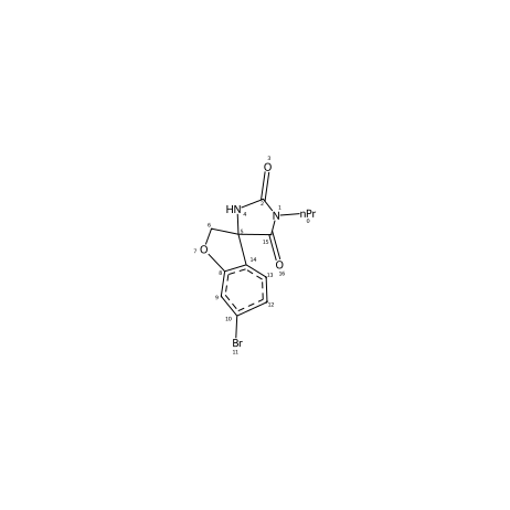 CCCN1C(=O)NC2(COc3cc(Br)ccc32)C1=O